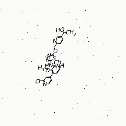 COC1=C(c2ccnc(Cl)c2)C=CN[C@]1(C)Nc1nnc(OCc2ccc(C(C)O)cn2)s1